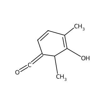 CC1=C(O)C(C)C(=C=O)C=C1